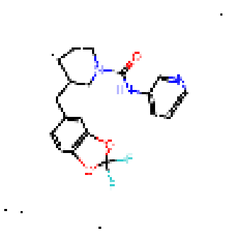 O=C(Nc1cccnc1)N1CCCC(Cc2ccc3c(c2)OC(F)(F)O3)C1